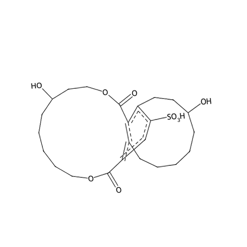 O=C1OCCCCCC(O)CCOC(=O)c2c3c1cc(S(=O)(=O)O)c2CCC(O)CCCCC3